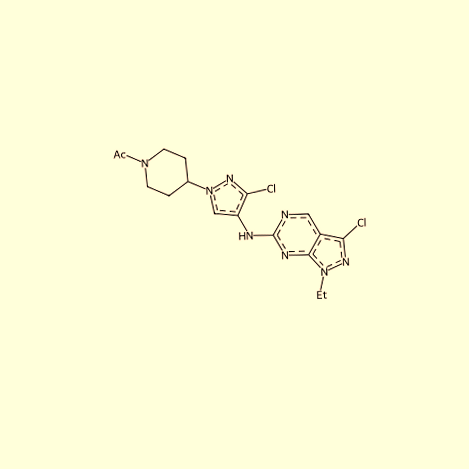 CCn1nc(Cl)c2cnc(Nc3cn(C4CCN(C(C)=O)CC4)nc3Cl)nc21